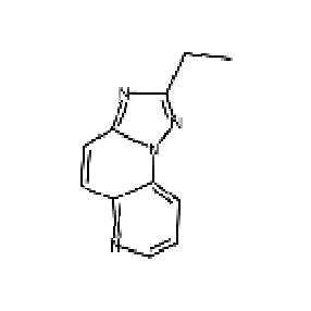 CCc1nc2ccc3ncccc3n2n1